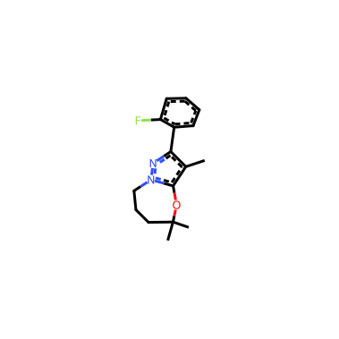 Cc1c(-c2ccccc2F)nn2c1OC(C)(C)CCC2